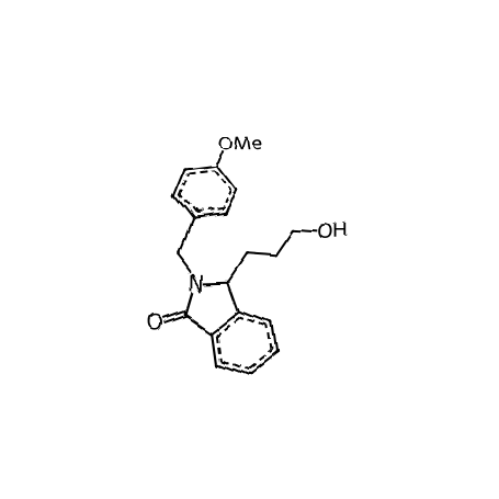 COc1ccc(CN2C(=O)c3ccccc3C2CCCO)cc1